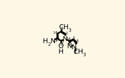 CC1=CN(c2ccn(C)n2)C(O)C(N)=C1